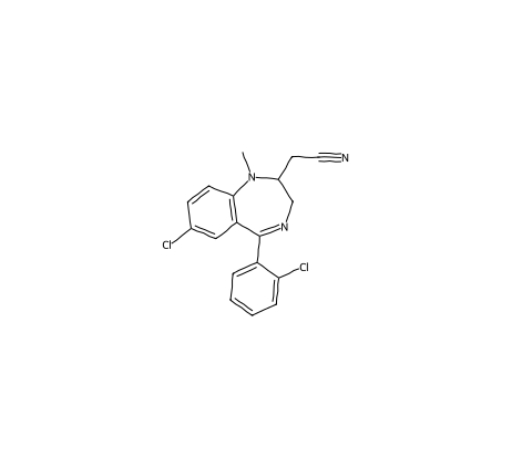 CN1c2ccc(Cl)cc2C(c2ccccc2Cl)=NCC1CC#N